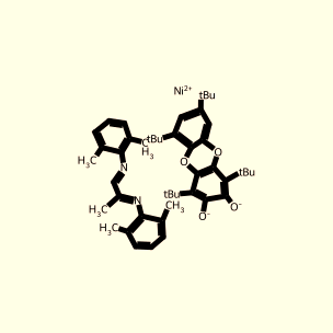 CC(C)(C)c1cc2c(c(C(C)(C)C)c1)Oc1c(c(C(C)(C)C)c([O-])c([O-])c1C(C)(C)C)O2.CC(C=Nc1c(C)cccc1C)=Nc1c(C)cccc1C.[Ni+2]